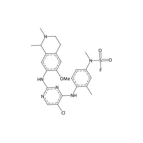 COc1cc2c(cc1Nc1ncc(Cl)c(Nc3ccc(N(C)S(=O)(=O)F)cc3C)n1)C(C)N(C)CC2